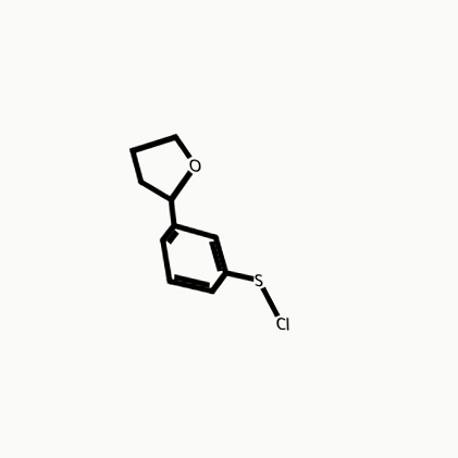 ClSc1cccc(C2CCCO2)c1